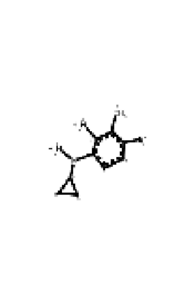 Cc1c(Br)ccc(N(N)C2CC2)c1N